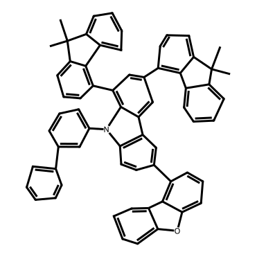 CC1(C)c2ccccc2-c2c(-c3cc(-c4cccc5c4-c4ccccc4C5(C)C)c4c(c3)c3cc(-c5cccc6oc7ccccc7c56)ccc3n4-c3cccc(-c4ccccc4)c3)cccc21